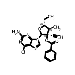 C#C[C@]1(OC(=O)c2ccccc2)C(n2cnc3c(Cl)nc(N)nc32)O[C@H](CC)[C@H]1C